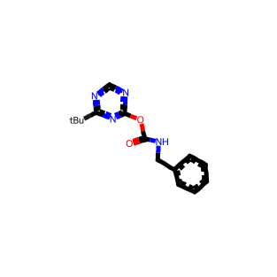 CC(C)(C)c1ncnc(OC(=O)NCc2ccccc2)n1